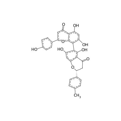 Cc1ccc([C@H]2CC(=O)c3c(cc(O)c(-c4c(O)cc(O)c5c(=O)cc(-c6ccc(O)cc6)oc45)c3O)O2)cc1